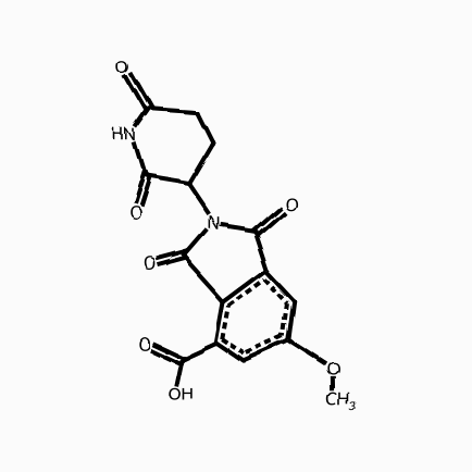 COc1cc(C(=O)O)c2c(c1)C(=O)N(C1CCC(=O)NC1=O)C2=O